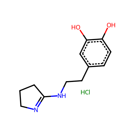 Cl.Oc1ccc(CCNC2=NCCC2)cc1O